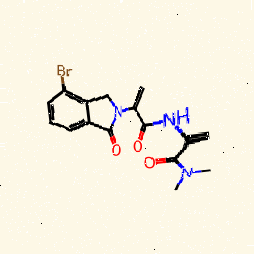 C=C(NC(=O)C(=C)N1Cc2c(Br)cccc2C1=O)C(=O)N(C)C